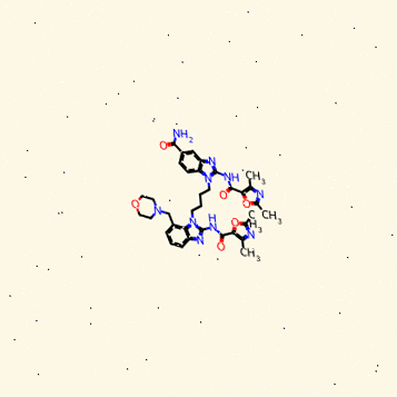 Cc1nc(C)c(C(=O)Nc2nc3cc(C(N)=O)ccc3n2CCCCn2c(NC(=O)c3oc(C)nc3C)nc3cccc(CN4CCOCC4)c32)o1